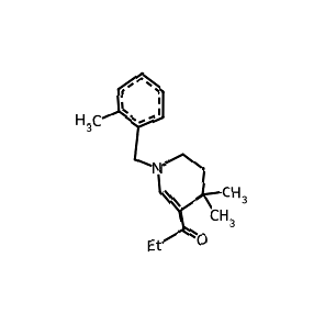 CCC(=O)C1=CN(Cc2ccccc2C)CCC1(C)C